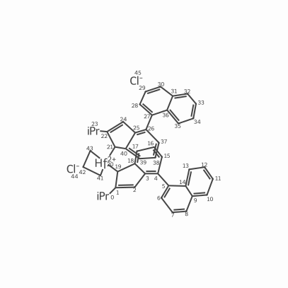 CC(C)C1=Cc2c(-c3cccc4ccccc34)cccc2[CH]1[Hf+2]1([CH]2C(C(C)C)=Cc3c(-c4cccc5ccccc45)cccc32)[CH2]C[CH2]1.[Cl-].[Cl-]